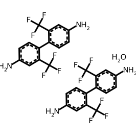 Nc1ccc(-c2ccc(N)cc2C(F)(F)F)c(C(F)(F)F)c1.Nc1ccc(-c2ccc(N)cc2C(F)(F)F)c(C(F)(F)F)c1.O